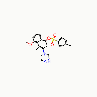 COc1cccc2c1C(C)=C(N1CCNCC1)CC2OS(=O)(=O)c1ccc(C)cc1